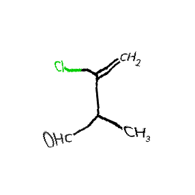 C=C(Cl)C(C)C=O